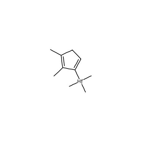 CC1=C(C)[C]([Hf]([CH3])([CH3])[CH3])=CC1